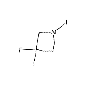 CC1(F)CN(I)C1